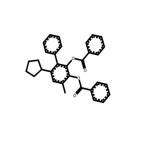 Cc1cc(C2CCCC2)c(-c2ccccc2)c(OC(=O)c2ccccc2)c1OC(=O)c1ccccc1